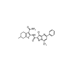 CC1CCc2c(sc(NC(=O)c3nn4c(C(F)(F)F)cc(-c5ccccc5)nc4c3Cl)c2C(N)=O)C1